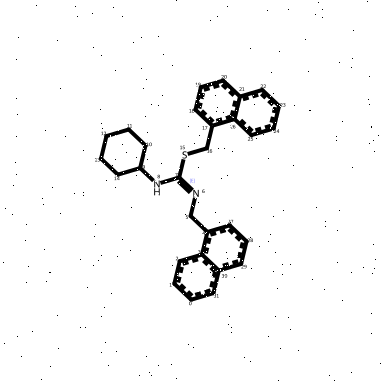 c1ccc2c(C/N=C(\NC3CCCCC3)SCc3cccc4ccccc34)cccc2c1